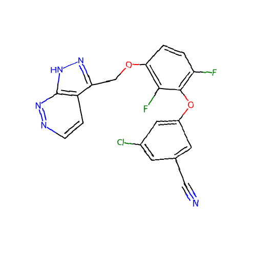 N#Cc1cc(Cl)cc(Oc2c(F)ccc(OCc3n[nH]c4nnccc34)c2F)c1